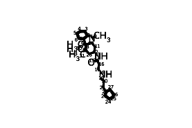 CN1c2ccccc2C2(C)C1CC(NC(=O)CCNCCCc1ccccc1)CC2(C)C